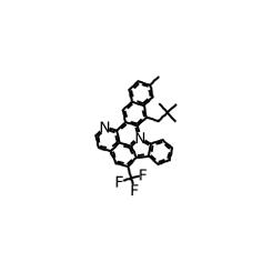 Cc1ccc2cc3c4nccc5cc(C(F)(F)F)c6c7ccccc7n(c3c(CC(C)(C)C)c2c1)c6c54